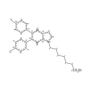 CCOC(=O)CCCCCCn1ccc2nc(-c3ccc(C)cc3)c(-c3ccc(C)cc3)nc21